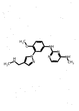 CNCc1cnn(-c2cc(Nc3nccc(NC)n3)ccc2OC)c1